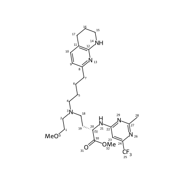 COCCN(CCCCc1ccc2c(n1)NCCC2)CC[C@H](Nc1cc(C(F)(F)F)nc(C)n1)C(=O)OC